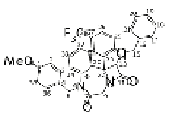 COc1ccc(CN2C(=O)CN3C(=O)C(OCc4ccccc4)C3(c3cccc(C(F)(F)F)c3)c3ccccc32)cc1